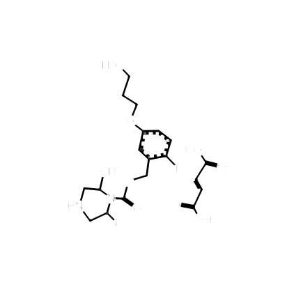 CCCCOc1ccc(F)c(COC(=O)N2C(C)CNCC2C)c1.O=C(O)C=CC(=O)O